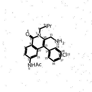 CC(=O)Nc1ccc2c(=O)n(CC(C)C)c(CN)c(-c3ccccc3)c2c1.Cl